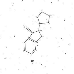 O=C1c2ccc(Br)cc2CN1C1CCCC1